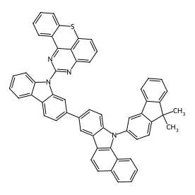 CC1(C)c2ccccc2-c2cc(-n3c4ccc(-c5ccc6c7ccccc7n(-c7nc8c9c(cccc9n7)Sc7ccccc7-8)c6c5)cc4c4ccc5ccccc5c43)ccc21